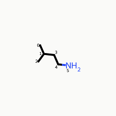 [CH2]C(C)CCN